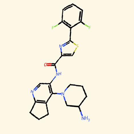 NC1CCCN(c2c(NC(=O)c3csc(-c4c(F)cccc4F)n3)cnc3c2CCC3)C1